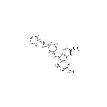 CC1=C(CC(=O)O)c2cc(C)ccc2/C1=C\c1cccc(COc2ccccc2)c1